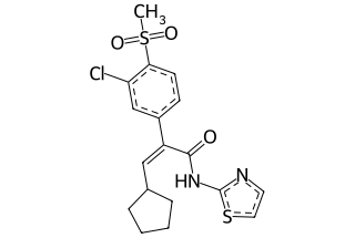 CS(=O)(=O)c1ccc(C(=CC2CCCC2)C(=O)Nc2nccs2)cc1Cl